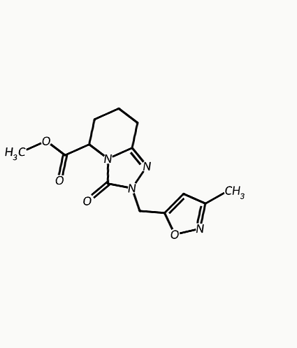 COC(=O)C1CCCc2nn(Cc3cc(C)no3)c(=O)n21